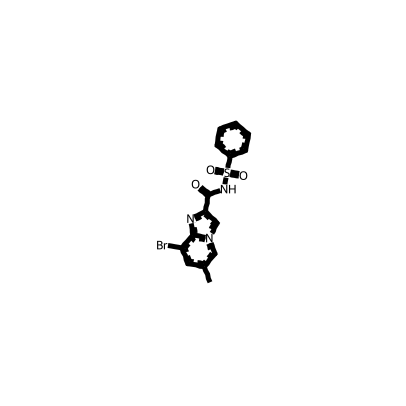 Cc1cc(Br)c2nc(C(=O)NS(=O)(=O)c3ccccc3)cn2c1